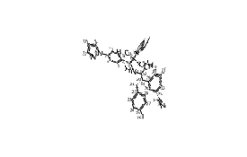 C[C@H](NC(c1ccc(-n2cccn2)cc1)C(C)(C)C#N)[C@@H](Cc1ccc(I)cc1)c1cccc(C#N)c1